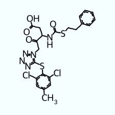 Cc1cc(Cl)c(Sc2nnnn2CC(=O)C(CC(=O)O)NC(=O)SCCc2ccccc2)c(Cl)c1